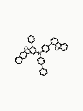 c1ccc(-c2ccc(N(c3ccc(-c4cccc5c4oc4ccccc45)cc3)c3cc(-c4ccccc4)c4oc5cc6ccccc6cc5c4c3)cc2)cc1